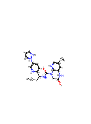 COCC(NC(=O)N1CC(=O)Nc2cc(C)cnc21)c1ccc(-n2cccn2)cn1